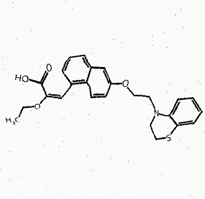 CCO/C(=C/c1cccc2cc(OCCN3CCSc4ccccc43)ccc12)C(=O)O